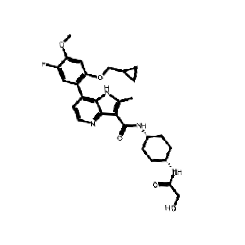 COc1cc(OCC2CC2)c(-c2ccnc3c(C(=O)N[C@H]4CC[C@@H](NC(=O)CO)CC4)c(C)[nH]c23)cc1F